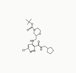 CC(C)(C)OC(=O)N1CCOC(CNc2cc(Cl)nnc2C(=O)NCC2CCCC2)C1